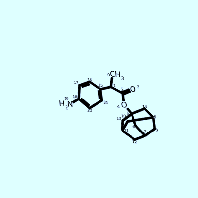 CC(C(=O)OC12CC3CC(CC(C3)C1)C2)c1ccc(N)cc1